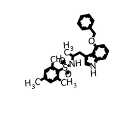 Cc1cc(C)c(S(=O)(=O)NC(C)Cc2c[nH]c3cccc(OCc4ccccc4)c23)c(C)c1